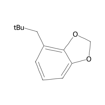 CC(C)(C)Cc1cccc2c1OCO2